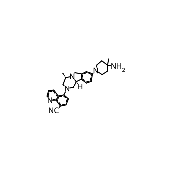 C[C@@H]1CN(c2ccc(C#N)c3ncccc23)C[C@@H]2c3ccc(N4CCC(C)(N)CC4)cc3CN12